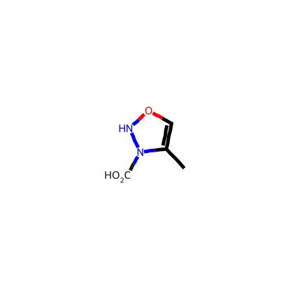 CC1=CONN1C(=O)O